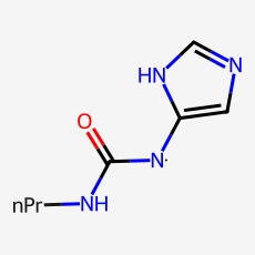 CCCNC(=O)[N]c1cnc[nH]1